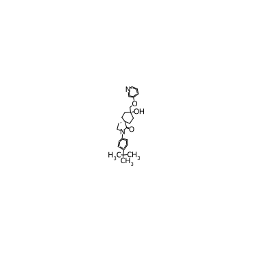 CC(C)(C)c1ccc(N2CC[C@]3(CC[C@@](O)(COc4cccnc4)CC3)C2=O)cc1